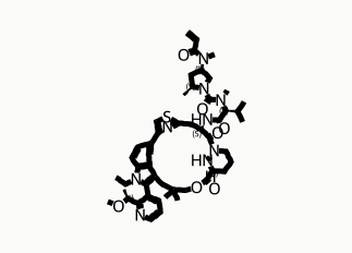 C=CC(=O)N(C)[C@@H]1C[C@H](C)N(C(=O)N(C)[C@H](C(=O)N[C@H]2Cc3nc(cs3)-c3ccc4c(c3)c(c(-c3cccnc3[C@H](C)OC)n4CC)CC(C)(C)COC(=O)[C@@H]3CCCN(N3)C2=O)C(C)C)C1